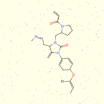 C=CC(=O)N1CCCC1CN1C(=O)N(C2=CCC(O/C(=C/C)CC)C=C2)C(=C)C1C/C=N\C